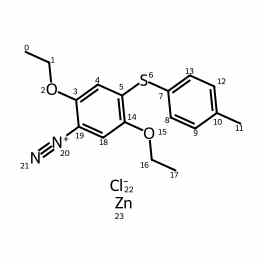 CCOc1cc(Sc2ccc(C)cc2)c(OCC)cc1[N+]#N.[Cl-].[Zn]